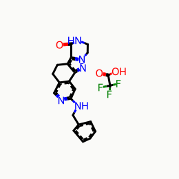 O=C(O)C(F)(F)F.O=C1NCCn2nc3c(c21)CCc1cnc(NCc2ccccc2)cc1-3